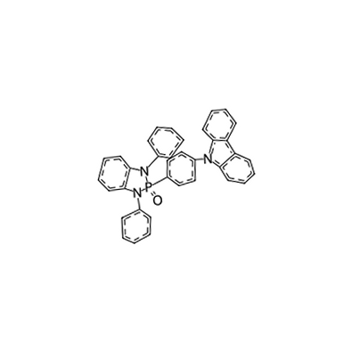 O=P1(c2ccc(-n3c4ccccc4c4ccccc43)cc2)N(c2ccccc2)c2ccccc2N1c1ccccc1